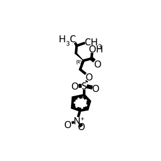 CC(C)C[C@H](COS(=O)(=O)c1ccc([N+](=O)[O-])cc1)C(=O)O